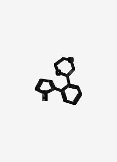 c1c[nH]c(-c2ccccc2C2COCCO2)c1